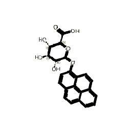 O=C(O)[C@H]1OC(Oc2ccc3ccc4cccc5ccc2c3c45)[C@H](O)[C@@H](O)[C@@H]1O